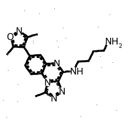 Cc1noc(C)c1-c1ccc2c(c1)nc(NCCCCN)c1nnc(C)n12